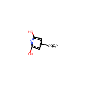 O=C([O-])c1cc(O)nc(O)c1.[Na+]